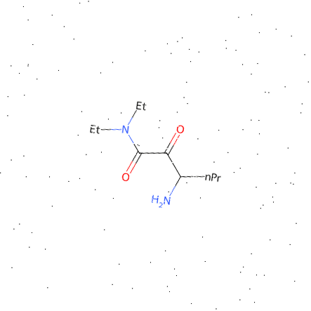 CCCC(N)C(=O)C(=O)N(CC)CC